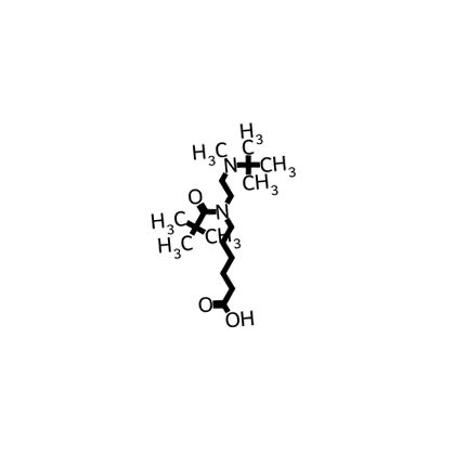 CN(CCN(CCCCCC(=O)O)C(=O)C(C)(C)C)C(C)(C)C